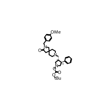 COc1ccc(CN2CC3(CCN(C[C@H]4CN(OC(=O)OC(C)(C)C)C[C@@H]4c4ccccc4)CC3)CC2=O)cc1